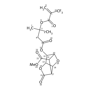 C=C(C(=O)OC(C)(C)CC(=O)OC1C2OC(=O)C3C2OC1C3C(=O)OC)C(F)(F)F